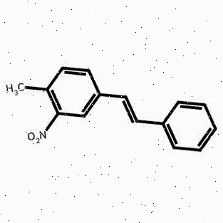 Cc1ccc(C=Cc2ccccc2)cc1[N+](=O)[O-]